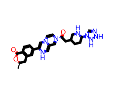 C[C@@H]1Cc2cc(C3=CN4C=C[N+](C(=O)CC5CCC(N6C=NNN6)NC5)=CC4=CN3)ccc2C(=O)O1